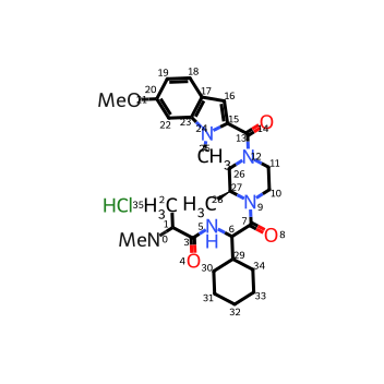 CNC(C)C(=O)NC(C(=O)N1CCN(C(=O)c2cc3ccc(OC)cc3n2C)C[C@@H]1C)C1CCCCC1.Cl